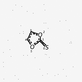 S=c1occo1